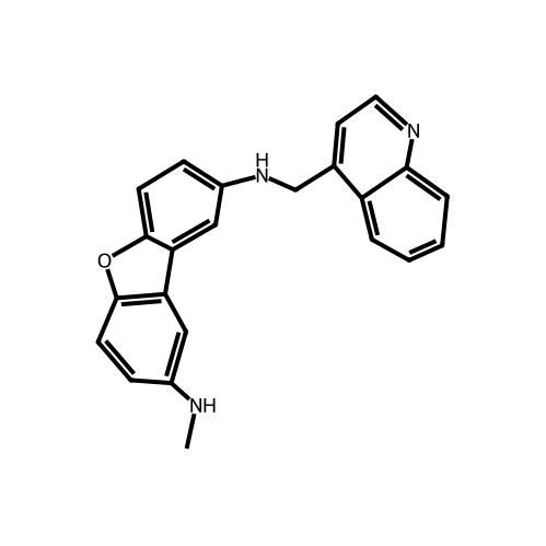 CNc1ccc2oc3ccc(NCc4ccnc5ccccc45)cc3c2c1